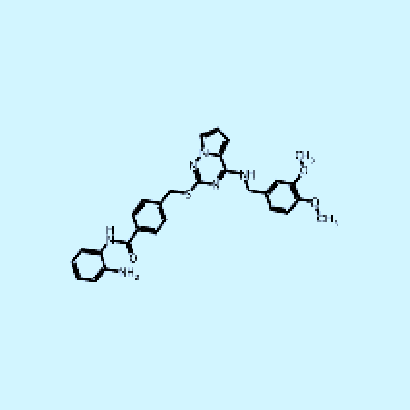 COc1ccc(CNc2nc(SCc3ccc(C(=O)Nc4ccccc4N)cc3)nn3cccc23)cc1OC